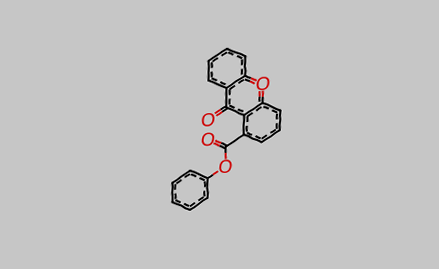 O=C(Oc1ccccc1)c1cccc2oc3ccccc3c(=O)c12